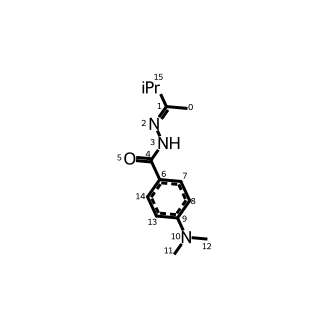 CC(=NNC(=O)c1ccc(N(C)C)cc1)C(C)C